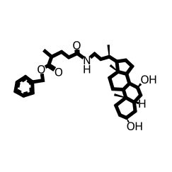 CC(CCC(=O)NCC[C@@H](C)C1CCC2C3C(CC[C@@]21C)[C@@]1(C)CC[C@@H](O)C[C@H]1C[C@@H]3O)C(=O)OCc1ccccc1